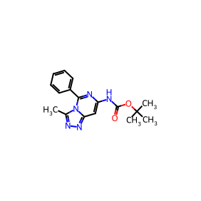 Cc1nnc2cc(NC(=O)OC(C)(C)C)nc(-c3ccccc3)n12